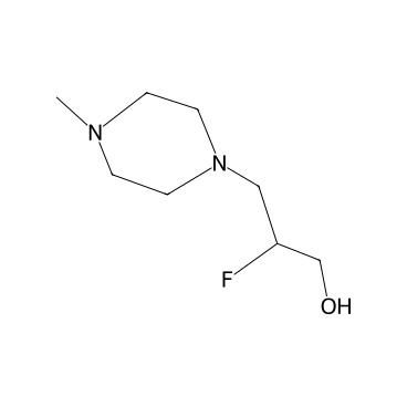 CN1CCN(CC(F)CO)CC1